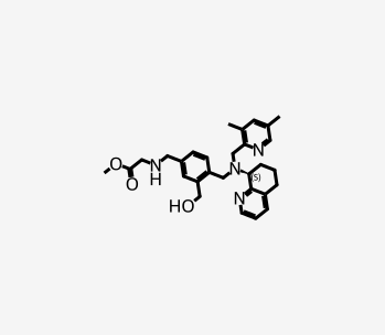 COC(=O)CNCc1ccc(CN(Cc2ncc(C)cc2C)[C@H]2CCCc3cccnc32)c(CO)c1